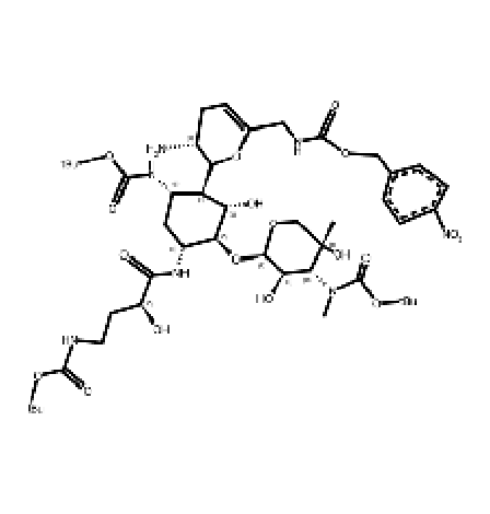 CN(C(=O)OC(C)(C)C)[C@@H]1[C@@H](O)[C@@H](O[C@@H]2[C@@H](O)[C@H](C3OC(CNC(=O)OCc4ccc([N+](=O)[O-])cc4)=CC[C@H]3N)[C@@H](NC(=O)OC(C)(C)C)C[C@H]2NC(=O)[C@@H](O)CCNC(=O)OC(C)(C)C)OC[C@]1(C)O